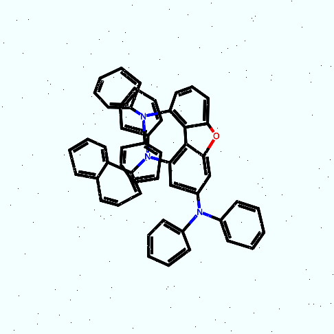 c1ccc(N(c2ccccc2)c2cc(N(c3ccccc3)c3cccc4ccccc34)c3c(c2)oc2cccc(N(c4ccccc4)c4ccccc4)c23)cc1